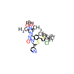 CC(C)[Si](c1sc(-c2c(C(F)(F)F)cc3c(N4C[C@@H](C)N(C(=O)OC(C)(C)C)[C@@H](C)C4)nc(=O)n4c3c2SC[C@@H](c2cccnc2)C4)cc1Cl)(C(C)C)C(C)C